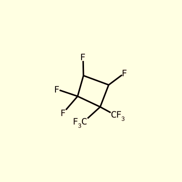 FC1C(F)C(C(F)(F)F)(C(F)(F)F)C1(F)F